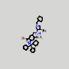 CC(C)(C)C1CN(Cc2ccccc2)CC1NCc1cc2c(Br)nn(C(c3ccccc3)(c3ccccc3)c3ccccc3)c2cc1[N+](=O)[O-]